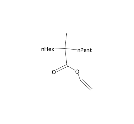 C=COC(=O)C(C)(CCCCC)CCCCCC